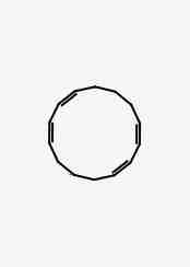 [CH]1CC=CC=CCCCC=CC=CC1